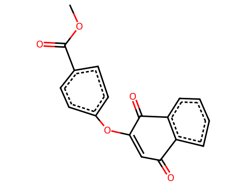 COC(=O)c1ccc(OC2=CC(=O)c3ccccc3C2=O)cc1